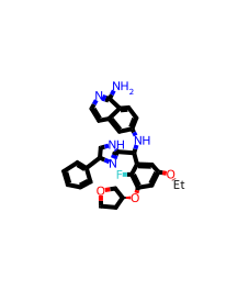 CCOc1cc(O[C@H]2CCOC2)c(F)c(C(Nc2ccc3c(N)nccc3c2)C2=NC(c3ccccc3)CN2)c1